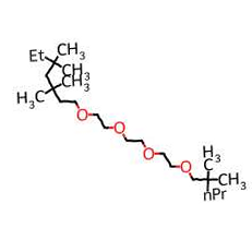 CCCC(C)(C)COCCOCCOCCOCCC(C)(C)CC(C)(C)CC